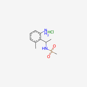 Cc1cccc(N)c1C(C)NS(C)(=O)=O.Cl